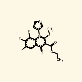 CCOC(=O)c1c(SC)n(-c2ccoc2)c2c(F)c(F)c(F)cc2c1=O